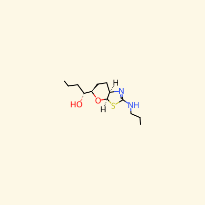 CCCNC1=N[C@@H]2CC[C@H]([C@H](O)CCC)O[C@@H]2S1